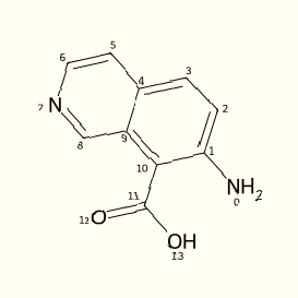 Nc1ccc2ccncc2c1C(=O)O